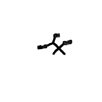 COC(O)C(C)(C)C=O